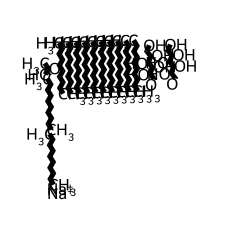 CC(=O)O.CCCCCCCCCC.CCCCCCCCCC.CCCCCCCCCC.CCCCCCCCCC.CCCCCCCCCC.CCCCCCCCCC.CCCCCCCCCC.CCCCCCCCCC.CCCCCCCCCC.CCCCCCCCCC.CCCCCCCCCC.CCCCCCCCCC.O=C[C@H](O)[C@@H](O)[C@H](O)[C@H](O)CO.O=C[C@H](O)[C@@H](O)[C@H](O)[C@H](O)CO.[Na+].[Na+]